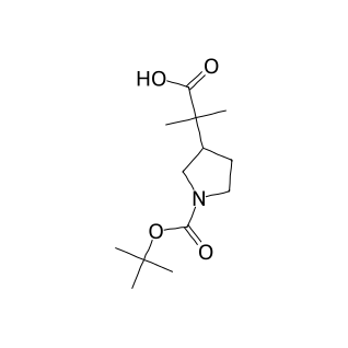 CC(C)(C)OC(=O)N1CCC(C(C)(C)C(=O)O)C1